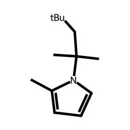 Cc1cccn1C(C)(C)CC(C)(C)C